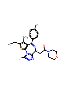 Cc1c(CC#N)sc2c1C(c1ccc(C#N)cc1)=N[C@@H](CC(=O)N1CCOCC1)c1nnc(C)n1-2